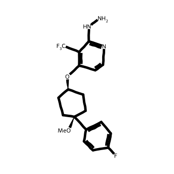 CO[C@]1(c2ccc(F)cc2)CC[C@H](Oc2ccnc(NN)c2C(F)(F)F)CC1